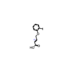 O=C(O)/C=C/COc1ccccc1I